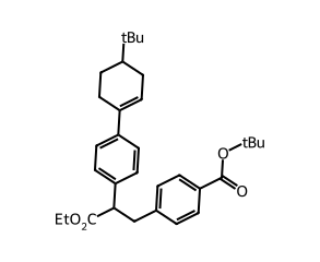 CCOC(=O)C(Cc1ccc(C(=O)OC(C)(C)C)cc1)c1ccc(C2=CCC(C(C)(C)C)CC2)cc1